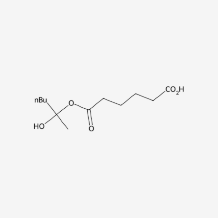 CCCCC(C)(O)OC(=O)CCCCC(=O)O